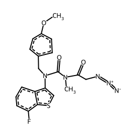 COc1ccc(CN(C(=O)N(C)C(=O)CN=[N+]=[N-])c2csc3c(F)cccc23)cc1